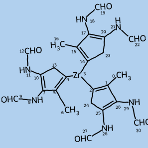 CC1=[C]([Zr]([C]2=C(C)C(NC=O)=C(NC=O)C2)[C]2=C(C)C(NC=O)=C(NC=O)C2)CC(NC=O)=C1NC=O